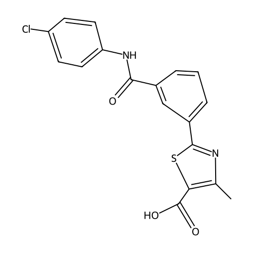 Cc1nc(-c2cccc(C(=O)Nc3ccc(Cl)cc3)c2)sc1C(=O)O